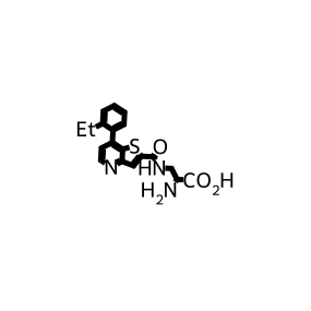 CCc1ccccc1-c1ccnc2cc(C(=O)NCC(N)C(=O)O)sc12